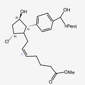 CCCCCC(O)c1ccc([C@@H]2C(C/C=C\CCCC(=O)OC)[C@H](Cl)C[C@H]2O)cc1